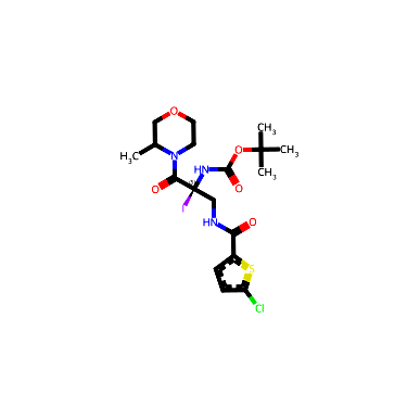 CC1COCCN1C(=O)[C@@](I)(CNC(=O)c1ccc(Cl)s1)NC(=O)OC(C)(C)C